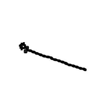 C#CC#CC#CC#CC#CC#CC#CC#CC#CC#CC#CC#CC#CC#CC#CC#CC(=O)OC1CC(C)(C)N(C)C(C)(C)C1